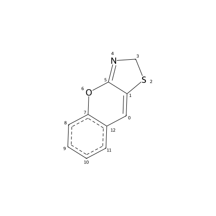 C1=C2SCN=C2Oc2ccccc21